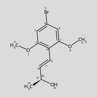 COc1cc(Br)cc(OC)c1/C=C/[C@H](C)O